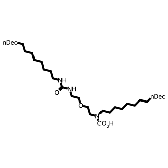 CCCCCCCCCCCCCCCCCCNC(=O)NCCOCCN(CCCCCCCCCCCCCCCCCC)C(=O)O